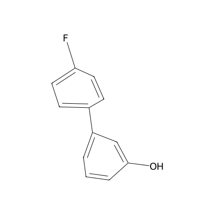 Oc1cccc(-c2ccc(F)cc2)c1